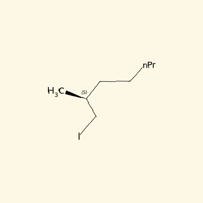 CCCCC[C@H](C)CI